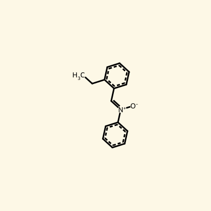 CCc1ccccc1C=[N+]([O-])c1ccccc1